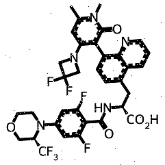 Cc1cc(N2CC(F)(F)C2)c(-c2ccc(C[C@H](NC(=O)c3c(F)cc(N4CCOC[C@@H]4C(F)(F)F)cc3F)C(=O)O)c3cccnc23)c(=O)n1C